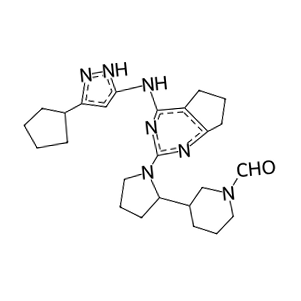 O=CN1CCCC(C2CCCN2c2nc3c(c(Nc4cc(C5CCCC5)n[nH]4)n2)CCC3)C1